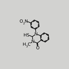 CN1C(=O)c2ccccc2N(c2cccc([N+](=O)[O-])c2)C1S